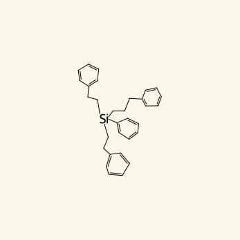 c1ccc(CCC[Si](CCCc2ccccc2)(CCCc2ccccc2)c2ccccc2)cc1